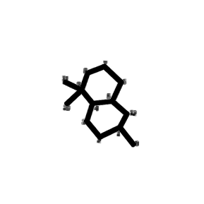 C[C]1CCC2C(CCCC2(C)C)C1